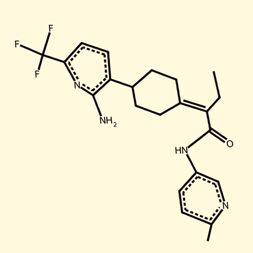 CCC(C(=O)Nc1ccc(C)nc1)=C1CCC(c2ccc(C(F)(F)F)nc2N)CC1